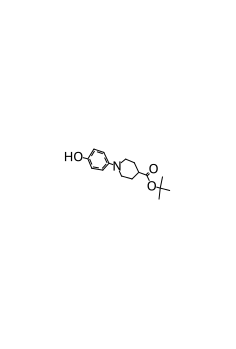 CC(C)(C)OC(=O)C1CCN(c2ccc(O)cc2)CC1